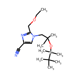 CCOCc1nc(C#N)cn1CC(C)(C)O[Si](C)(C)C(C)(C)C